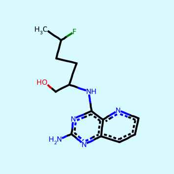 CC(F)CCC(CO)Nc1nc(N)nc2cccnc12